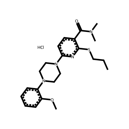 CCCSc1nc(N2CCN(c3ccccc3OC)CC2)ccc1C(=O)N(C)C.Cl